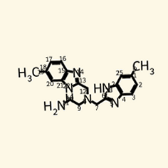 Cc1ccc2nc(CN(CCN)Cc3nc4ccc(C)cc4[nH]3)[nH]c2c1